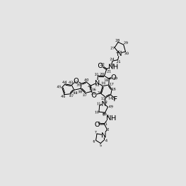 O=C(CN1CCCC1)N[C@@H]1CCN(c2c(F)cc3c(=O)c(C(=O)NCCN4CCCC4)cn4c3c2Oc2cc3c(cc2-4)oc2ccccc23)C1